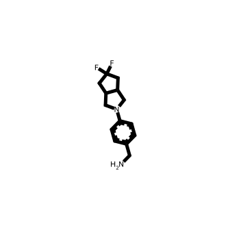 NCc1ccc(N2CC3CC(F)(F)CC3C2)cc1